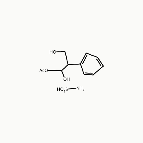 CC(=O)OC(O)C(CO)c1ccccc1.NS(=O)(=O)O